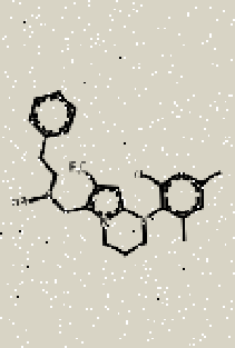 CCCN(CCc1ccccc1)Cc1c(C(F)(F)F)cc2n1CCCN2c1c(C)cc(C)cc1Cl